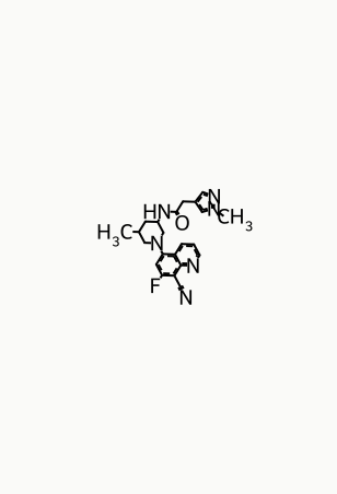 CC1CC(NC(=O)Cc2cnn(C)c2)CN(c2cc(F)c(C#N)c3ncccc23)C1